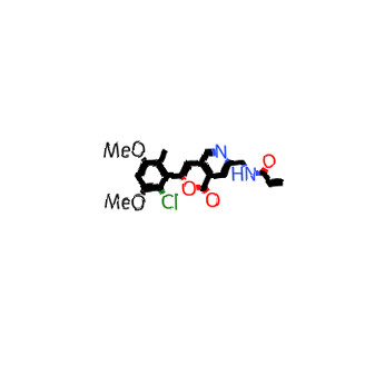 C=CC(=O)NCc1cc2c(=O)oc(-c3c(C)c(OC)cc(OC)c3Cl)cc2cn1